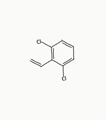 C=Cc1c(Cl)[c]ccc1Cl